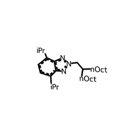 CCCCCCCCC(CCCCCCCC)Cn1nc2c(C(C)C)ccc(C(C)C)c2n1